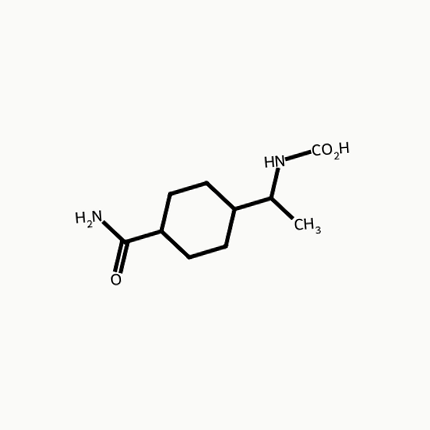 CC(NC(=O)O)C1CCC(C(N)=O)CC1